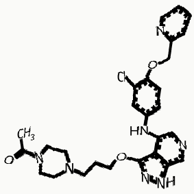 CC(=O)N1CCN(CCCOc2n[nH]c3cncc(Nc4ccc(OCc5ccccn5)c(Cl)c4)c23)CC1